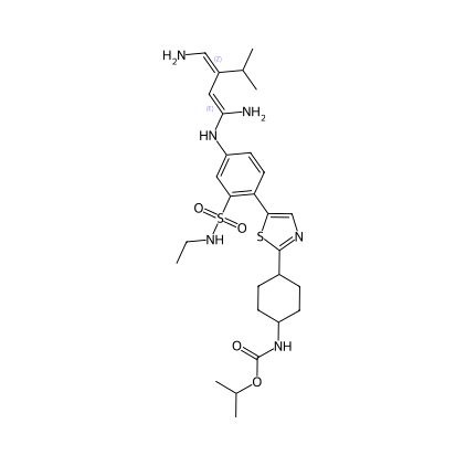 CCNS(=O)(=O)c1cc(N/C(N)=C/C(=C\N)C(C)C)ccc1-c1cnc(C2CCC(NC(=O)OC(C)C)CC2)s1